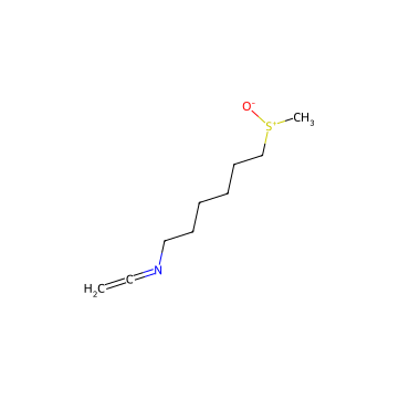 C=C=NCCCCCC[S+](C)[O-]